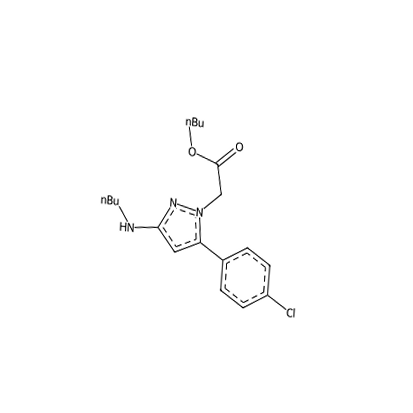 CCCCNc1cc(-c2ccc(Cl)cc2)n(CC(=O)OCCCC)n1